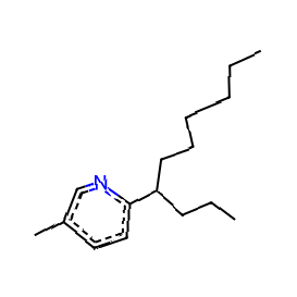 CCCCCCC(CCC)c1ccc(C)cn1